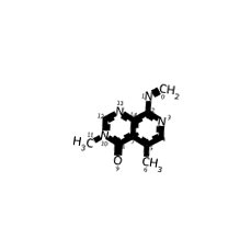 C=Nc1ncc(C)c2c(=O)n(C)cnc12